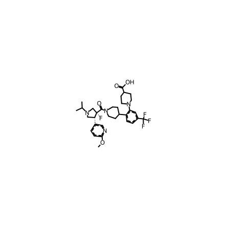 COc1ccc([C@@H]2CN(C(C)C)C[C@@]2(F)C(=O)N2CCC(c3ccc(C(F)(F)F)cc3N3CCC(C(=O)O)CC3)CC2)cn1